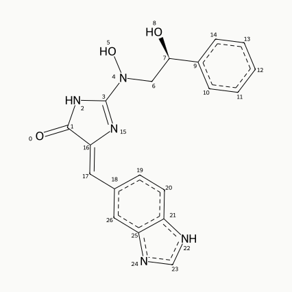 O=C1NC(N(O)C[C@@H](O)c2ccccc2)=N/C1=C\c1ccc2[nH]cnc2c1